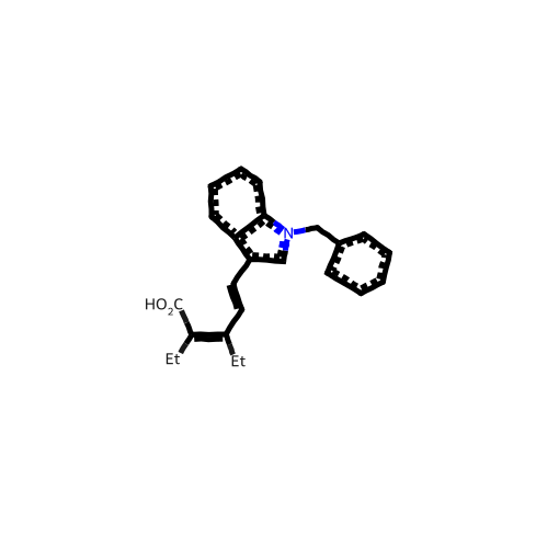 CCC(C=Cc1cn(Cc2ccccc2)c2ccccc12)=C(CC)C(=O)O